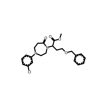 COC(=O)C(CCOCc1ccccc1)N1CCN(c2cccc(Cl)c2)CCC1=O